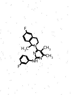 Cc1nc(Nc2cccc(F)c2)nc(N2CCc3cc(F)ccc3C2C)c1C